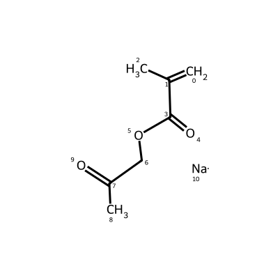 C=C(C)C(=O)OCC(C)=O.[Na]